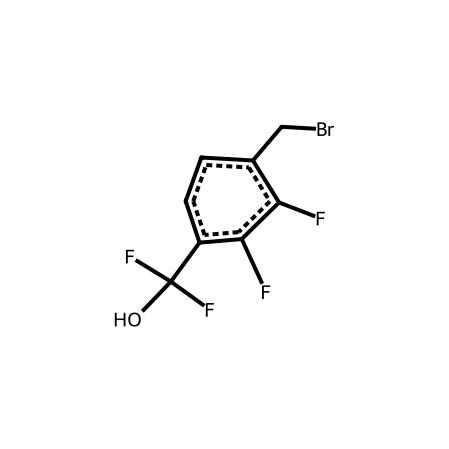 OC(F)(F)c1ccc(CBr)c(F)c1F